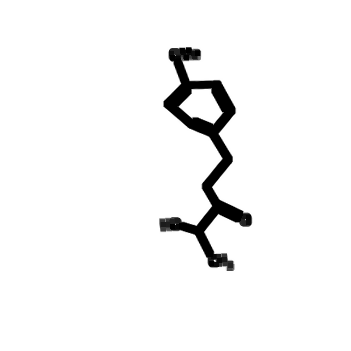 COc1ccc(CCC(=O)C(C)O)cc1